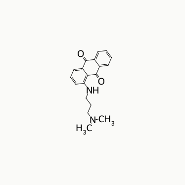 CN(C)CCCNc1cccc2c1C(=O)c1ccccc1C2=O